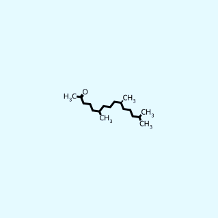 CC(=O)CCCC(C)CCC[C@@H](C)CCCC(C)C